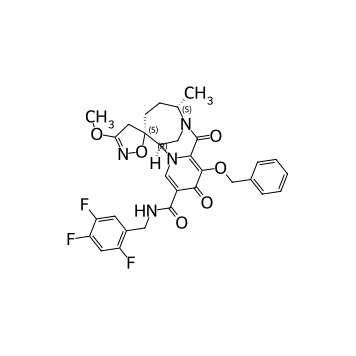 COC1=NO[C@@]2(CC[C@H](C)N3C[C@H]2n2cc(C(=O)NCc4cc(F)c(F)cc4F)c(=O)c(OCc4ccccc4)c2C3=O)C1